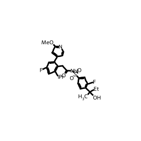 CCC(C)(O)c1ccc(S(=O)(=O)NC(=O)Cc2c(-c3ccnc(OC)c3)cc(F)cc2C(C)C)cc1F